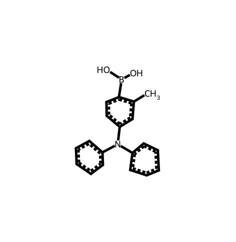 Cc1cc(N(c2ccccc2)c2ccccc2)ccc1B(O)O